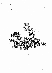 CCCCCC[C@@H](C(=O)N[C@H](C(=O)NC)C(C)(C)C)[C@H](OC)C(=O)NO.CNC(=O)[C@@H](N(CCCc1ccc(-c2ccccc2)cc1)C(=O)CC(OC)C(=O)NO)C(C)(C)C